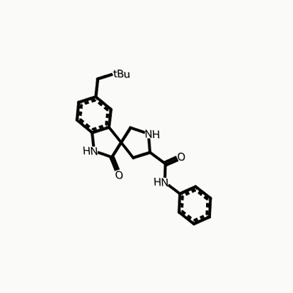 CC(C)(C)Cc1ccc2c(c1)C1(CNC(C(=O)Nc3ccccc3)C1)C(=O)N2